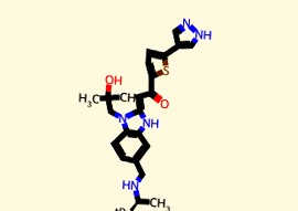 C[C@H](NCc1ccc2c(c1)N/C(=C\C(=O)c1ccc(-c3cn[nH]c3)s1)N2CC(C)(C)O)C(C)(C)C